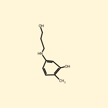 Cc1ccc(NCCCO)cc1O